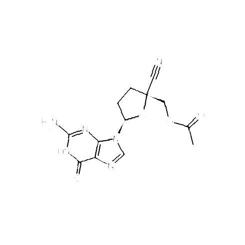 CC(=O)OC[C@]1(C#N)CC[C@H](n2cnc3c(=O)[nH]c(N)nc32)O1